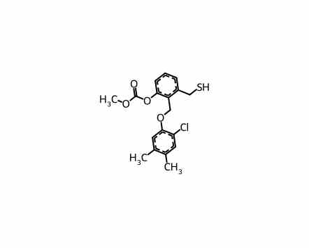 COC(=O)Oc1cccc(CS)c1COc1cc(C)c(C)cc1Cl